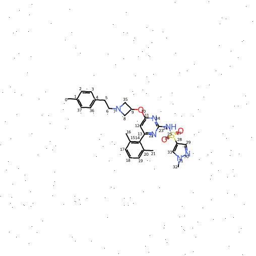 Cc1ccc(CCN2CC(Oc3cc(-c4c(C)cccc4C)nc(NS(=O)(=O)c4cnn(C)c4)n3)C2)cc1